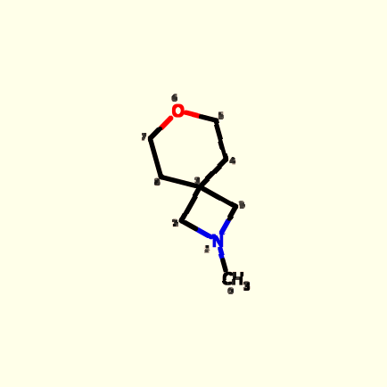 CN1CC2(CCOCC2)C1